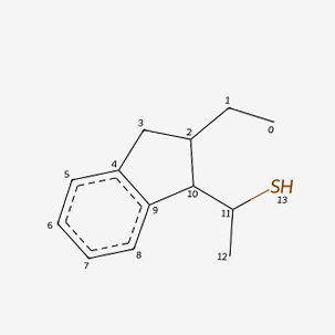 CCC1Cc2ccccc2C1C(C)S